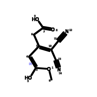 CO/C(O)=C\C(CC(=O)O)=C(C#N)C#N